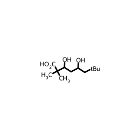 CC(C)(C)CC(O)CC(O)C(C)(C)C(=O)O